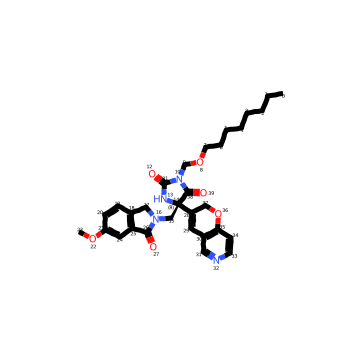 CCCCCCCCOCN1C(=O)N[C@@](CN2Cc3ccc(OC)cc3C2=O)(C2=Cc3cnccc3OC2)C1=O